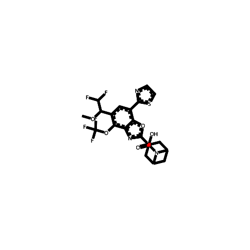 COC(c1cc(-c2nccs2)c2oc(N3CC4CC(C3)N4C(=O)O)nc2c1OC(F)(F)F)C(F)F